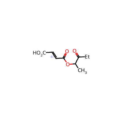 CCC(=O)C(C)OC(=O)/C=C/C(=O)O